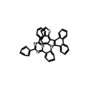 c1ccc(-c2nc(-c3ccccc3)nc(-c3ccccc3-n3c4ccc5ccsc5c4c4c5ccccc5c5ccccc5c43)n2)cc1